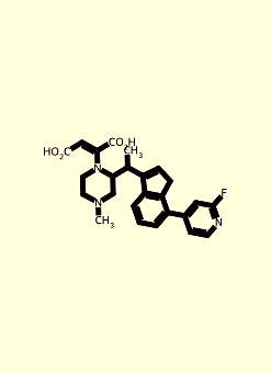 CC(C1=CCc2c1cccc2-c1ccnc(F)c1)C1CN(C)CCN1/C(=C\C(=O)O)C(=O)O